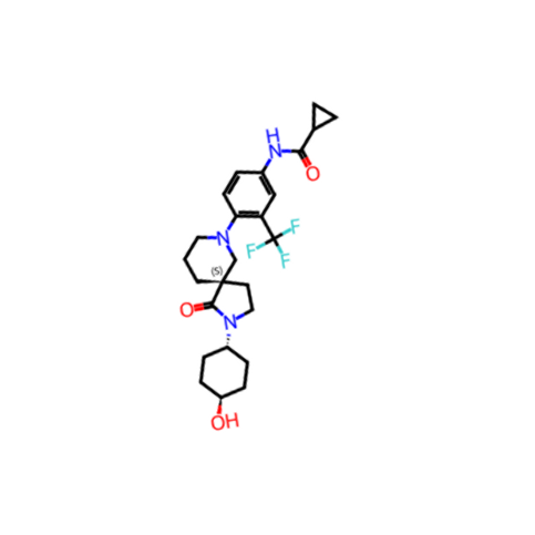 O=C(Nc1ccc(N2CCC[C@]3(CCN([C@H]4CC[C@H](O)CC4)C3=O)C2)c(C(F)(F)F)c1)C1CC1